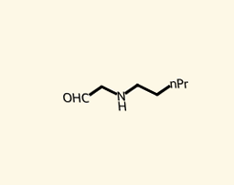 CCCCCNCC=O